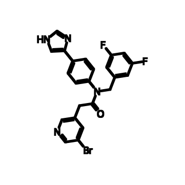 O=C(Cc1cncc(Br)c1)N(Cc1cc(F)cc(F)c1)c1ccc(-c2c[nH]cn2)cc1